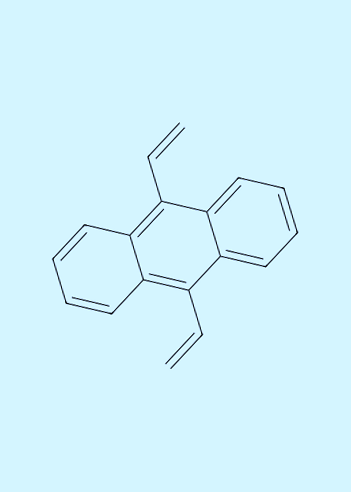 C=Cc1c2ccccc2c(C=C)c2ccccc12